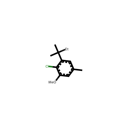 CCC(C)(C)c1cc(C)cc(OC)c1Cl